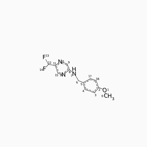 COc1ccc(CNc2cnc(C(F)F)cn2)cc1